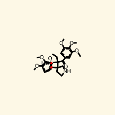 CCC(C(=O)c1cc(OC)c(OC)c(OC)c1)(C1(c2ccc(OC)c(OC)c2)CCNC1)S(=O)(=O)O